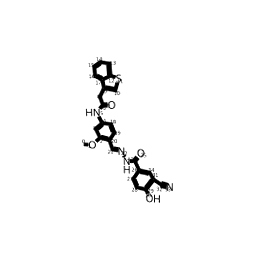 COc1cc(NC(=O)Cc2csc3ccccc23)ccc1C=NNC(=O)c1ccc(O)c(C#N)c1